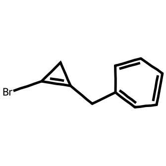 BrC1=C(Cc2ccccc2)C1